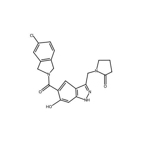 O=C1CCCN1Cc1n[nH]c2cc(O)c(C(=O)N3Cc4ccc(Cl)cc4C3)cc12